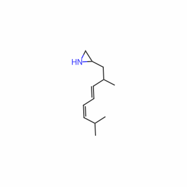 CC(C)/C=C\C=CC(C)CC1CN1